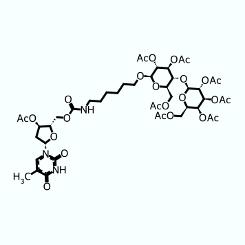 CC(=O)OC[C@H]1O[C@@H](O[C@H]2[C@H](OC(C)=O)[C@@H](OC(C)=O)[C@H](OCCCCCCNC(=O)OC[C@@H]3O[C@H](n4cc(C)c(=O)[nH]c4=O)C[C@H]3OC(C)=O)O[C@@H]2COC(C)=O)[C@H](OC(C)=O)[C@@H](OC(C)=O)[C@H]1OC(C)=O